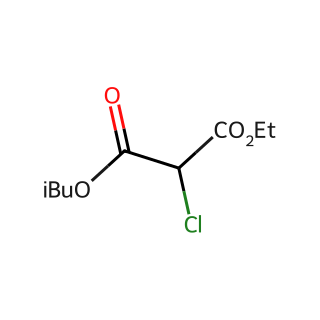 CCOC(=O)C(Cl)C(=O)OCC(C)C